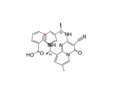 Cc1cc([C@@H](C)Nc2ccccc2C(=O)O)c2nc(N[C@H](C)c3cccnc3)c(C#N)c(=O)n2c1